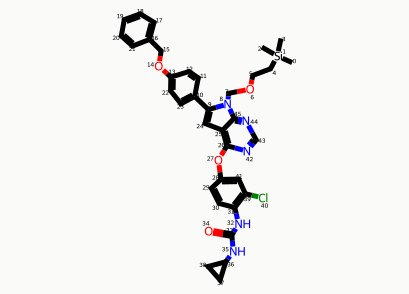 C[Si](C)(C)CCOCn1c(-c2ccc(OCc3ccccc3)cc2)cc2c(Oc3ccc(NC(=O)NC4CC4)c(Cl)c3)ncnc21